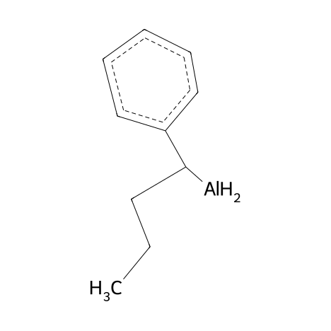 CCC[CH]([AlH2])c1ccccc1